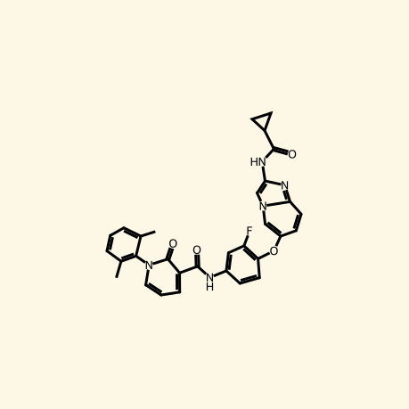 Cc1cccc(C)c1-n1cccc(C(=O)Nc2ccc(Oc3ccc4nc(NC(=O)C5CC5)cn4c3)c(F)c2)c1=O